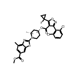 COC(=O)c1cc(C)c2nc(N3CC[C@@H](OC(=O)c4c(-c5c(Cl)cccc5Cl)noc4C4(F)CC4)C[C@H]3C)sc2c1